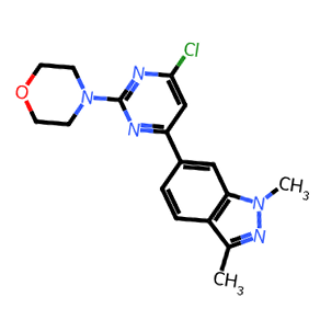 Cc1nn(C)c2cc(-c3cc(Cl)nc(N4CCOCC4)n3)ccc12